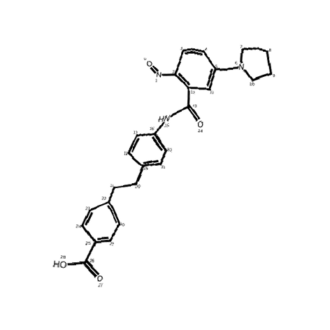 O=Nc1ccc(N2CCCC2)cc1C(=O)Nc1ccc(CCc2ccc(C(=O)O)cc2)cc1